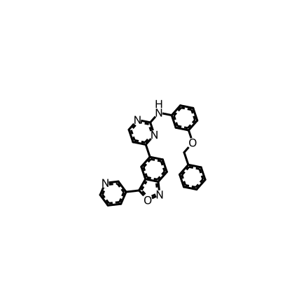 c1ccc(COc2cccc(Nc3nccc(-c4ccc5noc(-c6cccnc6)c5c4)n3)c2)cc1